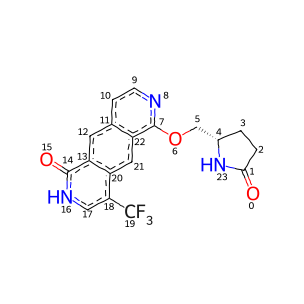 O=C1CC[C@@H](COc2nccc3cc4c(=O)[nH]cc(C(F)(F)F)c4cc23)N1